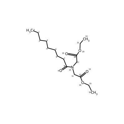 CCCCCCCCC(=O)N(CC(=O)OCC)CC(=O)OCC